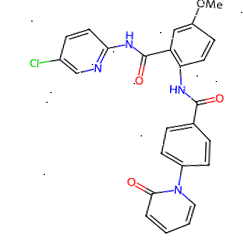 COc1ccc(NC(=O)c2ccc(-n3ccccc3=O)cc2)c(C(=O)Nc2ccc(Cl)cn2)c1